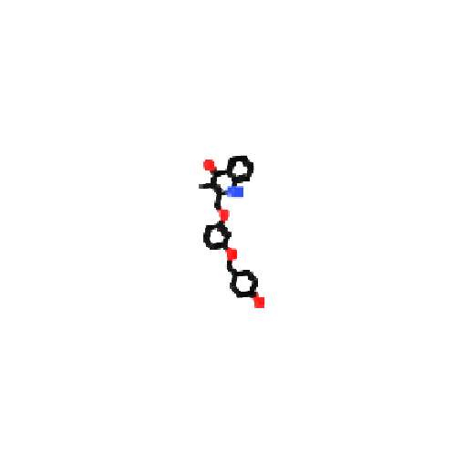 Cc1c(COc2cccc(OCC3CCC(=O)CC3)c2)[nH]c2ccccc2c1=O